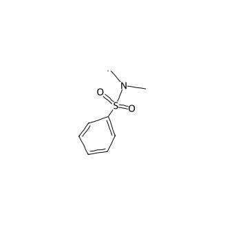 [CH2]N(C)S(=O)(=O)c1ccccc1